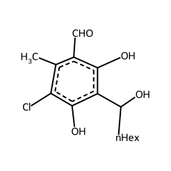 CCCCCCC(O)c1c(O)c(Cl)c(C)c(C=O)c1O